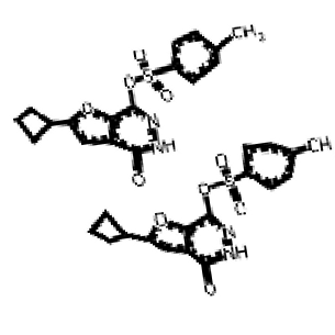 Cc1ccc(S(=O)(=O)Oc2n[nH]c(=O)c3cc(C4CCC4)oc23)cc1.Cc1ccc(S(=O)(=O)Oc2n[nH]c(=O)c3cc(C4CCC4)oc23)cc1